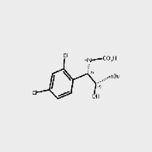 CCCC[C@H](O)[C@@H](NC(=O)O)c1ccc(Cl)cc1Cl